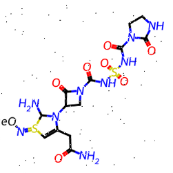 CO/N=S1/C=C(CC(N)=O)N(C2CN(C(=O)NS(=O)(=O)NC(=O)N3CCNC3=O)C2=O)C1N